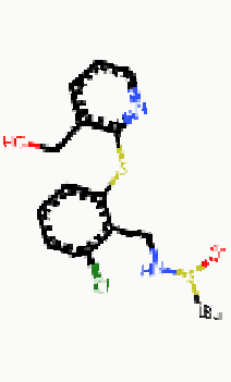 CC(C)(C)[S+]([O-])NCc1c(Cl)cccc1Sc1ncccc1CO